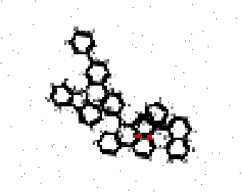 C1=CC(c2cccc3c2oc2ccccc23)=C(N(c2ccc(C3=CCC(c4ccccc4)C=C3n3c4ccccc4c4ccccc43)cc2)c2ccc(-c3cccc4ccccc34)cc2)CC1